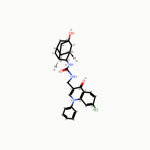 O=C(NCc1cn(-c2ccccc2)c2cc(Cl)ccc2c1=O)NC1[C@@H]2CC3C[C@H]1CC(O)(C3)C2